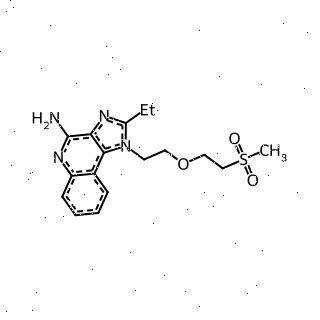 CCc1nc2c(N)nc3ccccc3c2n1CCOCCS(C)(=O)=O